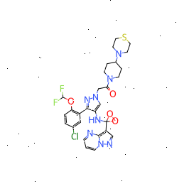 O=C(Cn1cc(NC2(c3cnn4cccnc34)OO2)c(-c2cc(Cl)ccc2OC(F)F)n1)N1CCC(N2CCSCC2)CC1